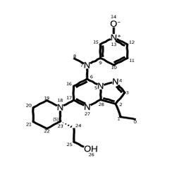 CCc1cnn2c(N(C)c3ccc[n+]([O-])c3)cc(N3CCCC[C@H]3CCO)nc12